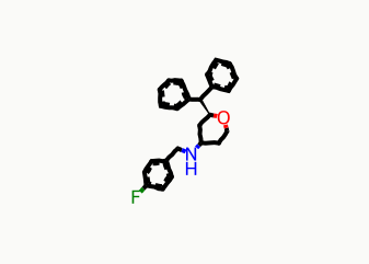 Fc1ccc(CNC2CCO[C@H](C(c3ccccc3)c3ccccc3)C2)cc1